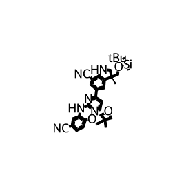 CC1(COc2ccc(C#N)cc2Nc2nccc(-c3cc(C#N)c4c(c3)[C@@](C)(CO[Si](C)(C)C(C)(C)C)CN4)n2)COC1